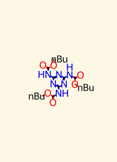 CCCCOC(=O)Nc1nc(NC(=O)OCCCC)nc(NC(=O)OCCCC)n1